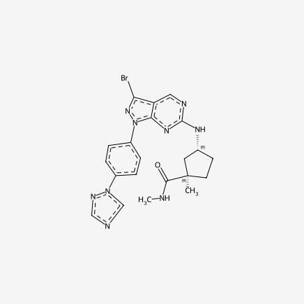 CNC(=O)[C@]1(C)CC[C@@H](Nc2ncc3c(Br)nn(-c4ccc(-n5cncn5)cc4)c3n2)C1